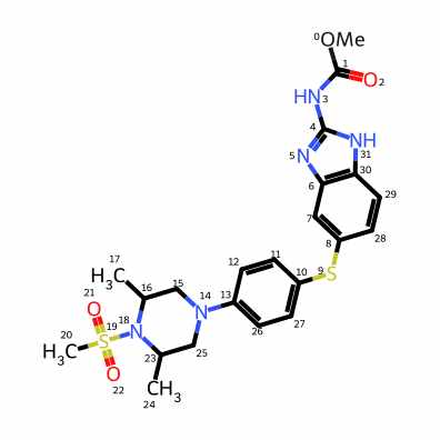 COC(=O)Nc1nc2cc(Sc3ccc(N4CC(C)N(S(C)(=O)=O)C(C)C4)cc3)ccc2[nH]1